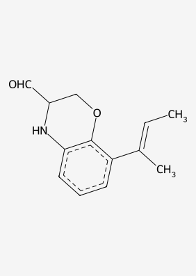 CC=C(C)c1cccc2c1OCC(C=O)N2